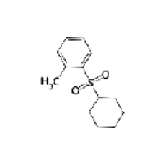 Cc1ccccc1S(=O)(=O)C1CCCCC1